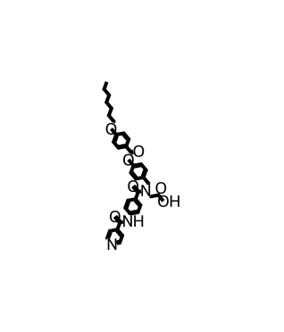 CCCCCCCOc1ccc(C(=O)Oc2ccc(CN(CC(=O)O)C(=O)c3ccc(NC(=O)c4ccncc4)cc3)cc2)cc1